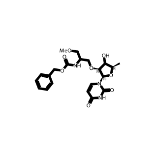 COCC(CO[C@H]1C(O)[C@@H](C)O[C@H]1n1ccc(=O)[nH]c1=O)NC(=O)OCc1ccccc1